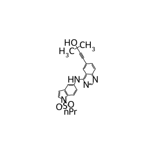 CCCS(=O)(=O)n1ccc2cc(Nc3ncnc4ccc(C#CC(C)(C)O)cc34)ccc21